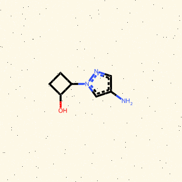 Nc1cnn(C2CCC2O)c1